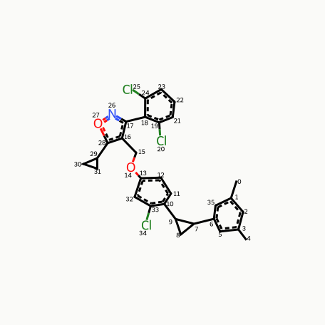 Cc1cc(C)cc(C2CC2c2ccc(OCc3c(-c4c(Cl)cccc4Cl)noc3C3CC3)cc2Cl)c1